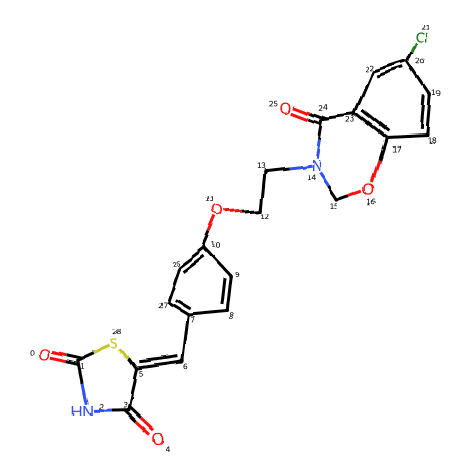 O=C1NC(=O)/C(=C/c2ccc(OCCN3COc4ccc(Cl)cc4C3=O)cc2)S1